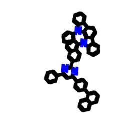 c1ccc(-c2cc(-c3ccc(-c4cccc5ccccc45)cc3)nc(-c3ccc4c(-n5c6ccccc6c6ccc7c8ccccc8n(-c8ccccc8)c7c65)cccc4c3)n2)cc1